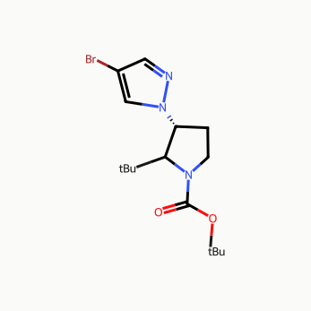 CC(C)(C)OC(=O)N1CC[C@@H](n2cc(Br)cn2)C1C(C)(C)C